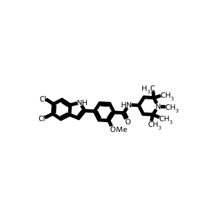 COc1cc(-c2cc3cc(Cl)c(Cl)cc3[nH]2)ccc1C(=O)NC1CC(C)(C)N(C)C(C)(C)C1